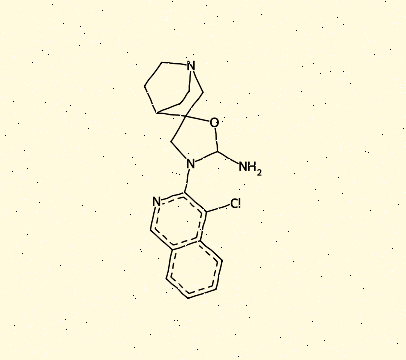 NC1OC2(CN3CCC2CC3)CN1c1ncc2ccccc2c1Cl